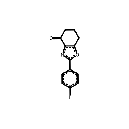 O=C1CCCc2oc(-c3ccc(F)cc3)nc21